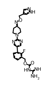 N=C(N)NC(=O)OCc1cccc(-c2cnc(N3CCC(=NOCc4cn[nH]c4)CC3)nc2)c1F